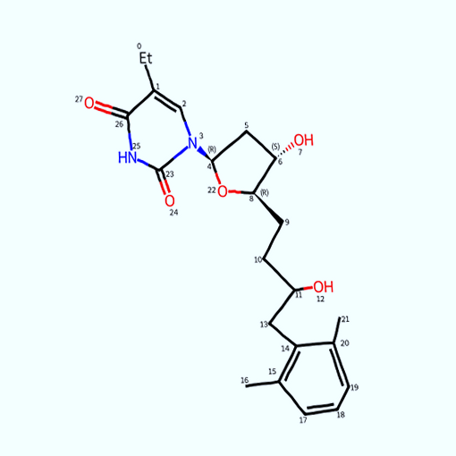 CCc1cn([C@H]2C[C@H](O)[C@@H](CCC(O)Cc3c(C)cccc3C)O2)c(=O)[nH]c1=O